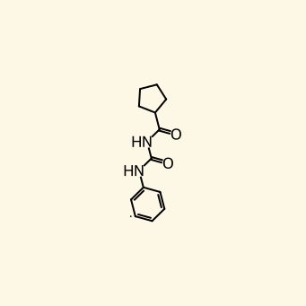 O=C(NC(=O)C1CCCC1)Nc1c[c]ccc1